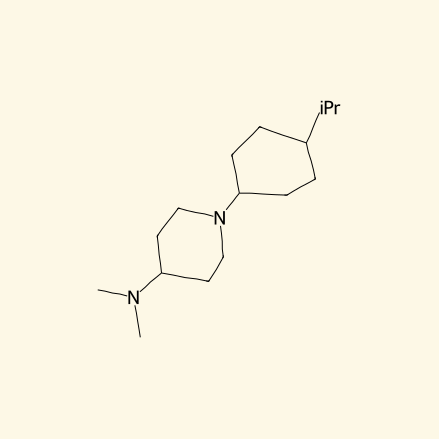 CC(C)C1CCC(N2CCC(N(C)C)CC2)CC1